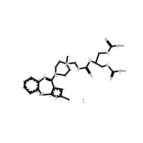 CCCCCCCCCC(=O)OCC(COC(=O)CCCCCCCCC)OC(=O)OC[N+]1(C)CCN(C2=Nc3ccccc3Nc3sc(C)cc32)CC1.[I-]